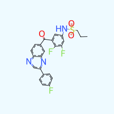 CCCS(=O)(=O)Nc1cc(F)c(F)c(C(=O)c2ccc3ncc(-c4ccc(F)cc4)nc3c2)c1